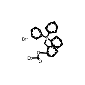 CCC(=O)Oc1ccccc1C[P+](c1ccccc1)(c1ccccc1)c1ccccc1.[Br-]